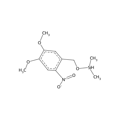 COc1cc(CO[SiH](C)C)c([N+](=O)[O-])cc1OC